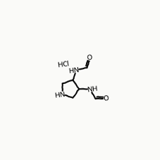 Cl.O=CNC1CNCC1NC=O